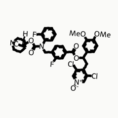 COc1ccc(C(Cc2c(Cl)c[n+]([O-])cc2Cl)OC(=O)c2ccc(CN(C(=O)O[C@H]3CN4CCC3CC4)c3ccccc3F)c(F)c2)cc1OC